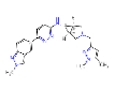 Cc1cc(CN2C[C@@H]3[C@H](C2)[C@H]3Nc2ccc(-c3ccc4nn(C)cc4c3)nn2)nn1C